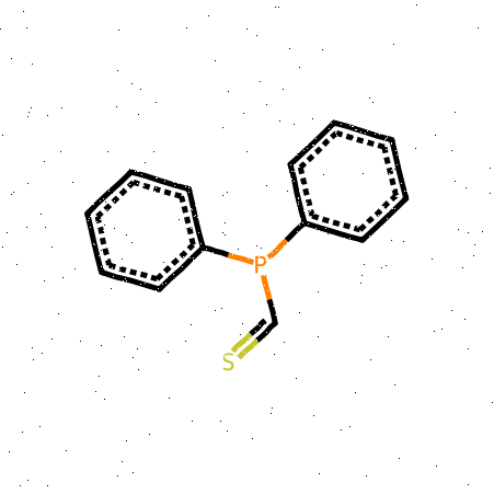 S=CP(c1ccccc1)c1ccccc1